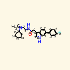 CN(CCNC(=O)Cc1c[nH]c2cc(-c3ccc(F)cc3)ccc12)C1CCCCC1